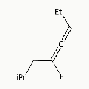 [CH2]CC=C=C(F)CC(C)C